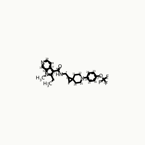 CCc1c(C(=O)NCC2CC23CCN(c2ccc(OC(F)(F)F)cc2)CC3)c2ccncc2n1C